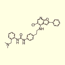 CN(C)Cc1ccccc1NC(=O)Nc1ccc(CCNc2c(Cl)cnc3oc(-c4ccccc4)cc23)cc1